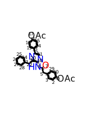 CC(=O)Oc1ccc(CC(=O)Nc2ncc(-c3ccc(OC(C)=O)cc3)nc2Cc2ccccc2)cc1